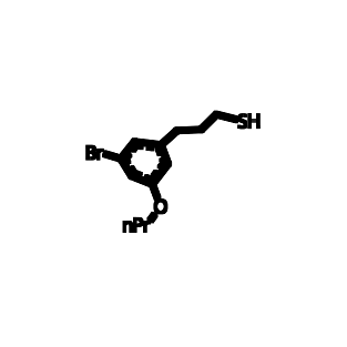 CCCOc1cc(Br)cc(CCCS)c1